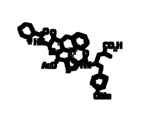 CCC(C)C(NC(=O)C1CCCCN1C)C(=O)N(Cc1ccccc1)C(CC(OC(C)=O)c1nc(C(=O)NC(Cc2ccc(OC)cc2)CC(C)C(=O)O)cs1)C(C)C